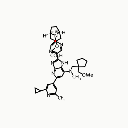 COCC1(CN(C)c2cc(-c3cc(C4CC4)nc(C(F)(F)F)c3)nc3nc(-c4cnc(N5[C@@H]6CC[C@H]5CC(OCC(=O)O)C6)cn4)[nH]c23)CCCC1